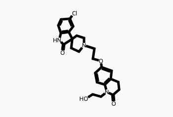 O=C1CCc2cc(OCCN3CCC4(CC3)C(=O)Nc3ccc(Cl)cc34)ccc2N1CCO